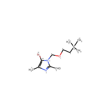 Cc1nc(C=O)n(COCC[Si](C)(C)C)c1Br